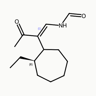 CC[C@@H]1CCCCCC1/C(=C\NC=O)C(C)=O